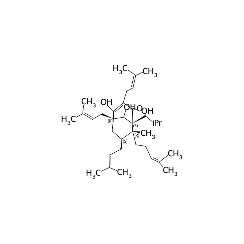 CC(C)=CCC[C@]1(C)[C@@H](CC=C(C)C)C[C@]2(CC=C(C)C)C(O)=C(CC=C(C)C)C(=O)[C@@]1(C(O)C(C)C)C2O